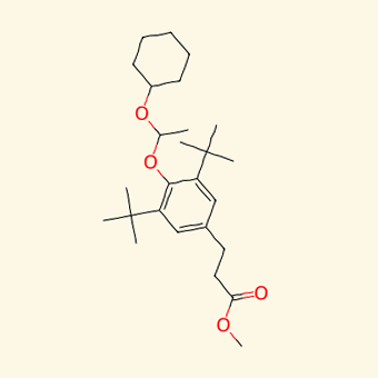 COC(=O)CCc1cc(C(C)(C)C)c(OC(C)OC2CCCCC2)c(C(C)(C)C)c1